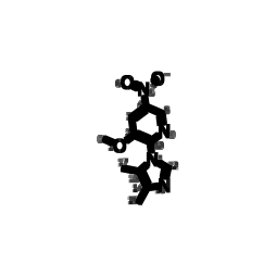 COc1cc([N+](=O)[O-])cnc1-n1cnc(C)c1C